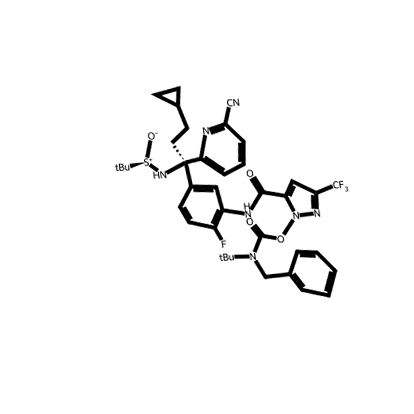 CC(C)(C)N(Cc1ccccc1)C(=O)On1nc(C(F)(F)F)cc1C(=O)Nc1cc([C@@](CCC2CC2)(N[S@+]([O-])C(C)(C)C)c2cccc(C#N)n2)ccc1F